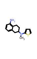 CN(c1cccs1)C1CCc2c(N)cccc2C1